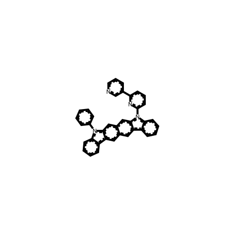 c1ccc(-n2c3ccccc3c3cc4cc5c6ccccc6n(-c6cccc(-c7cccnc7)n6)c5cc4cc32)cc1